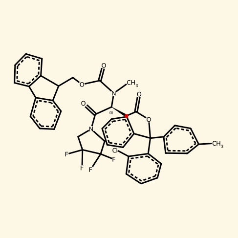 Cc1ccc(C(OC(=O)C[C@@H](C(=O)N2CC(F)(F)C(F)(F)C2)N(C)C(=O)OCC2c3ccccc3-c3ccccc32)(c2ccccc2)c2ccccc2Cl)cc1